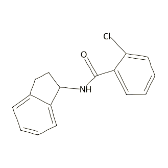 O=C(NC1CCc2ccccc21)c1ccccc1Cl